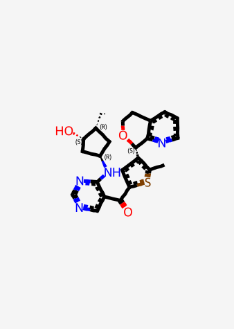 [CH2][C@@H]1C[C@@H](Nc2ncncc2C(=O)c2cc([C@@H]3OCCc4cccnc43)c(C)s2)C[C@@H]1O